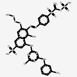 C=C(OS(=O)(=O)O)S(=O)(=O)c1ccc(N=Nc2c(SOOO)cc3cc(S(=O)(=O)O)cc(Nc4nc(Cl)nc(Nc5cccc(C)c5)n4)c3c2O)cc1